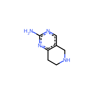 Nc1ncc2c(n1)CCNC2